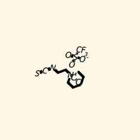 O=S(=O)([O-])C(F)(F)F.S=C=NCC[N+]12CCC(CC1)CC2